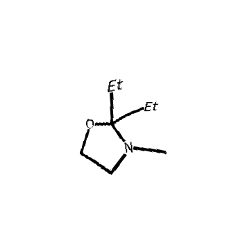 CCC1(CC)OCCN1C